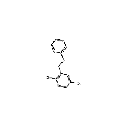 CCc1ccc(Cl)c(COc2ccccn2)c1